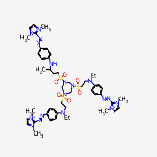 CCN(CCS(=O)(=O)N1CN(S(=O)(=O)CCC(C)Nc2ccc(/N=N/c3n(C)cc[n+]3C)cc2)CN(S(=O)(=O)CCN(CC)c2ccc(/N=N/c3n(C)cc[n+]3C)cc2)C1)c1ccc(/N=N/c2n(C)cc[n+]2C)cc1